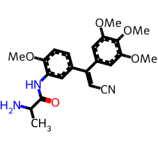 COc1ccc(C(=CC#N)c2cc(OC)c(OC)c(OC)c2)cc1NC(=O)C(C)N